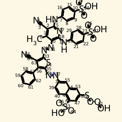 Cc1c(C#N)c(Nc2ccc(S(=O)(=O)O)cc2)nc(Nc2ccc(S(=O)(=O)O)cc2)c1N=Nc1sc(/N=N/c2ccc3c(S(=O)(=O)O)cc(SOOO)cc3c2)c(-c2ccccc2)c1C#N